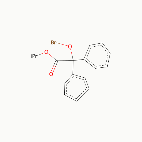 CC(C)OC(=O)C(OBr)(c1ccccc1)c1ccccc1